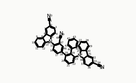 N#Cc1ccc2c(c1)c1ccccc1n2-c1ccc(-c2cccc(-n3c4ccccc4c4cc(C#N)ccc43)c2-c2ccccc2)cc1C#N